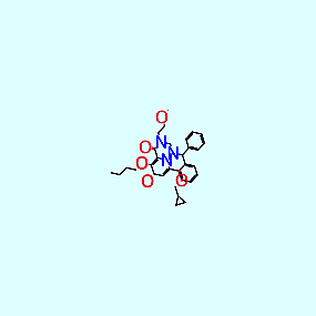 CCCCOc1c2n(c(COCC3CC3)cc1=O)N(C(c1ccccc1)c1ccccc1)CN(CCOC)C2=O